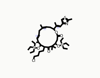 CC[Si](CC)(CC)OC1C(C)/C=C/C/C(C)=C\CC(/C(C)=C/c2csc(C)n2)OC(=O)CC(O[Si](CC)(CC)CC)C(C)(C)C(=O)C1CCCCCl